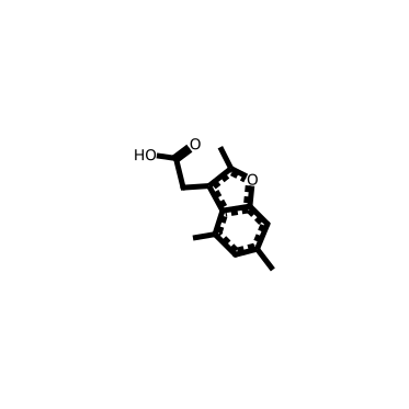 Cc1cc(C)c2c(CC(=O)O)c(C)oc2c1